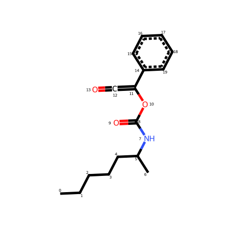 CCCCCC(C)NC(=O)OC(=C=O)c1ccccc1